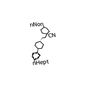 CCCCCCCCC[C@H]1CC[C@@](C#N)(CC[C@H]2CC[C@H](c3ccc(CCCCCCC)cc3)CC2)CC1